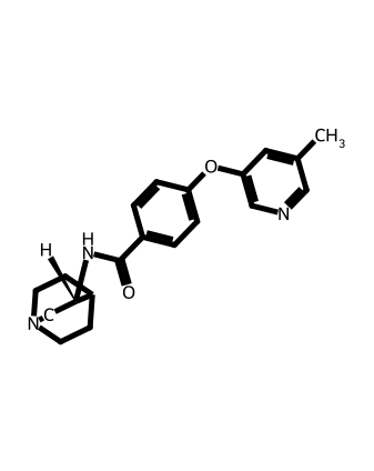 Cc1cncc(Oc2ccc(C(=O)N[C@H]3CN4CCC3CC4)cc2)c1